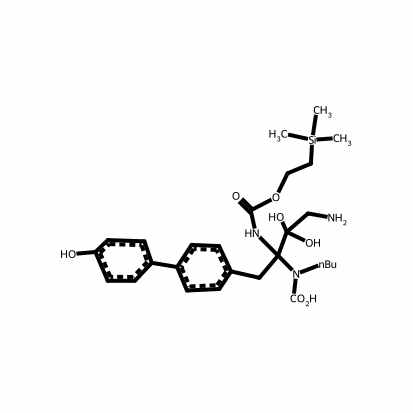 CCCCN(C(=O)O)C(Cc1ccc(-c2ccc(O)cc2)cc1)(NC(=O)OCC[Si](C)(C)C)C(O)(O)CN